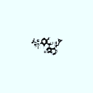 CN(C)S(=O)(=O)Nc1ccc(F)c(C(=O)c2c[nH]c3ncnc(NCC4CC4)c23)c1F